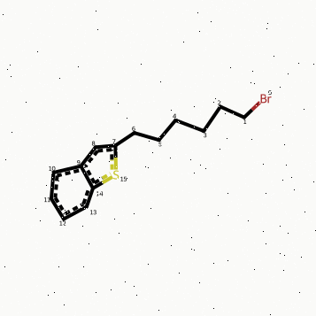 BrCCCCCCc1cc2ccccc2s1